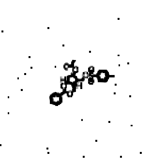 CC(=O)O[C@@H]1C[C@@H]2OC(c3ccccc3)OC[C@H]2[C@@H]1COS(=O)(=O)c1ccc(C)cc1